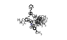 C=C1C[C@H](CCC2SCCCS2)O[C@H]1CC[C@H]1CC(C)C(=C)[C@@H](C[C@@H]2O[C@H](CC(CO[Si](C)(C)C(C)(C)C)O[Si](C)(C)C(C)(C)C)C/C2=C\S(=O)(=O)c2ccc(CC)cc2)O1